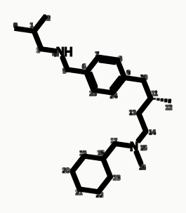 CC(C)CNCc1ccc(C[C@H](C)CCN(C)CC2CCCCC2)cc1